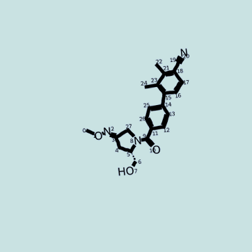 CO/N=C1\C[C@@H](CO)N(C(=O)c2ccc(-c3ccc(C#N)c(C)c3C)cc2)C1